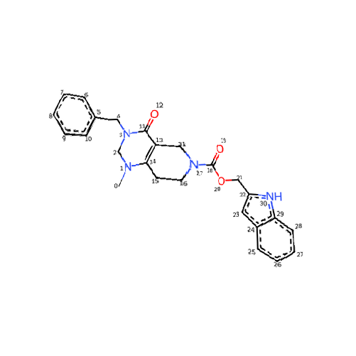 CN1CN(Cc2ccccc2)C(=O)C2=C1CCN(C(=O)OCc1cc3ccccc3[nH]1)C2